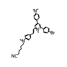 CN(C)c1ccc(-c2cc(/C=C/c3ccc(N(C)CCCCCC#N)cc3)[n+](C)c(-c3ccc(Br)cc3)c2)cc1